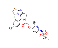 CCc1nc(NS(C)(=O)=O)ccc1OCC(=O)N1CCc2nc3n(c2C1c1ccc(Cl)cc1F)CCS3